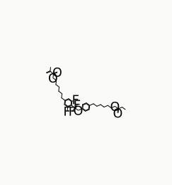 C=C(C)C(=O)OCCCCCCc1cc(F)c(C(F)(F)Oc2ccc(CCCCCCOC(=O)CC)cc2)c(F)c1